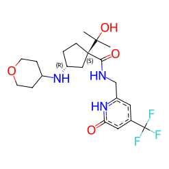 CC(C)(O)[C@]1(C(=O)NCc2cc(C(F)(F)F)cc(=O)[nH]2)CC[C@@H](NC2CCOCC2)C1